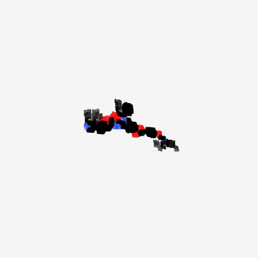 CC[C@@H](c1ccccc1)N1Cc2cc3c(cc2C[C@H]1C(=O)NC(Cc1ccc(-c2ccnc(C)c2C)cc1)C(=O)O)OC[C@H](c1ccc(OCCN(C)C)cc1)O3